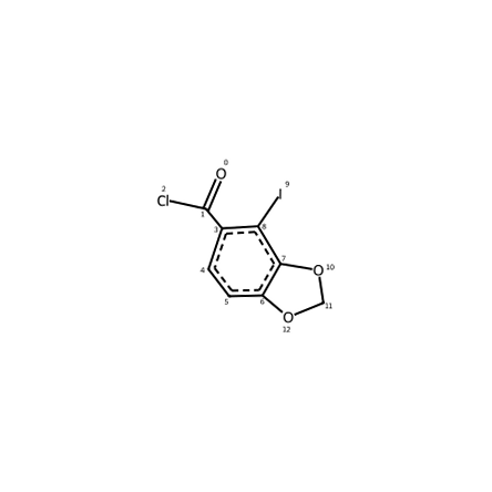 O=C(Cl)c1ccc2c(c1I)OCO2